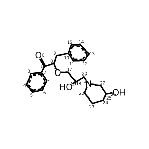 O=C(c1ccccc1)C(Cc1ccccc1)OCC(O)CN1CCCC(O)C1